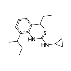 CCC(C)c1cccc(C(C)CC)c1NC(=S)NC1CC1